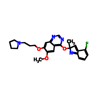 COc1cc2c(OC3(C)C=c4c(F)cccc4=N3)ncnc2cc1OCCCN1CCCC1